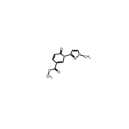 COC(=O)c1ccc(=O)n(-c2ccn(C)n2)c1